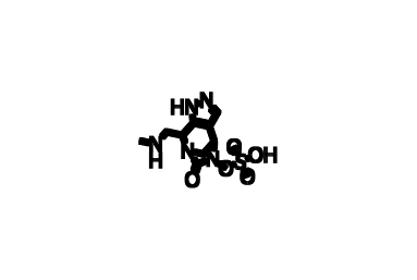 CNCC1c2[nH]ncc2C2CN1C(=O)N2OS(=O)(=O)O